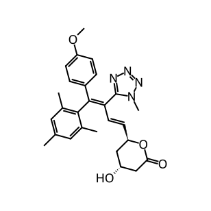 COc1ccc(C(=C(/C=C/[C@@H]2C[C@@H](O)CC(=O)O2)c2nnnn2C)c2c(C)cc(C)cc2C)cc1